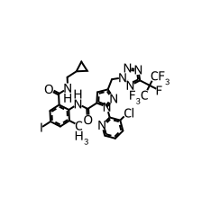 Cc1cc(I)cc(C(=O)NCC2CC2)c1NC(=O)c1cc(Cn2nnc(C(F)(C(F)(F)F)C(F)(F)F)n2)nn1-c1ncccc1Cl